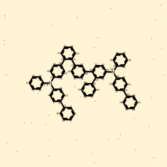 c1ccc(-c2ccc(N(c3ccccc3)c3ccc(-c4ccccc4-c4cccc(-c5ccc(N(c6ccccc6)c6ccc(-c7ccccc7)cc6)cc5-c5ccccc5)c4)cc3)cc2)cc1